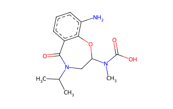 CC(C)N1CC(N(C)C(=O)O)Oc2c(N)cccc2C1=O